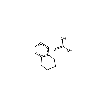 O=C(O)O.c1ccc2c(c1)CCCC2